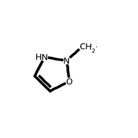 [CH2]N1NC=CO1